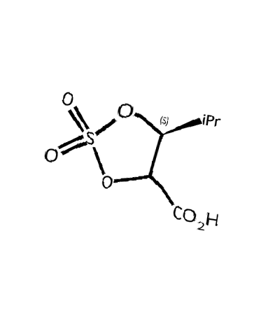 CC(C)[C@@H]1OS(=O)(=O)OC1C(=O)O